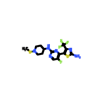 CSN1CCC(Nc2ncc(F)c(-c3sc(N)nc3C(F)(F)F)n2)CC1